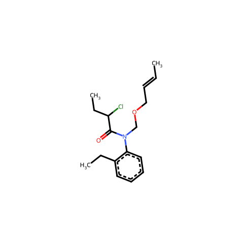 CC=CCOCN(C(=O)C(Cl)CC)c1ccccc1CC